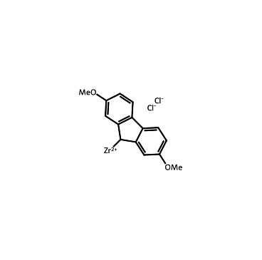 COc1ccc2c(c1)[CH]([Zr+2])c1cc(OC)ccc1-2.[Cl-].[Cl-]